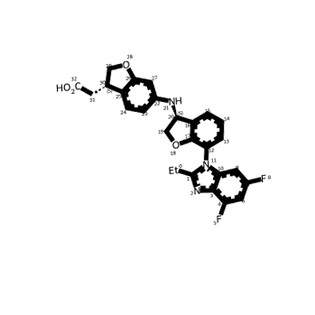 CCc1nc2c(F)cc(F)cc2n1-c1cccc2c1OC[C@H]2Nc1ccc2c(c1)OC[C@H]2CC(=O)O